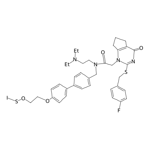 CCN(CC)CCN(Cc1ccc(-c2ccc(OCCOSI)cc2)cc1)C(=O)Cn1c(SCc2ccc(F)cc2)nc(=O)c2c1CCC2